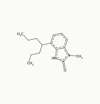 CCCC(CCC)c1cccc2c1[nH]c(=O)n2C